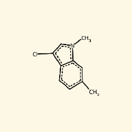 Cc1ccc2c(Cl)cn(C)c2c1